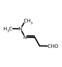 CN(C)N=CCC=O